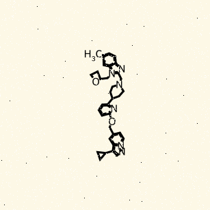 Cc1ccc2nc(CN3CCC(c4cccc(OCc5ccn6ncc(C7CC7)c6c5)n4)CC3)n(CC3CCO3)c2c1